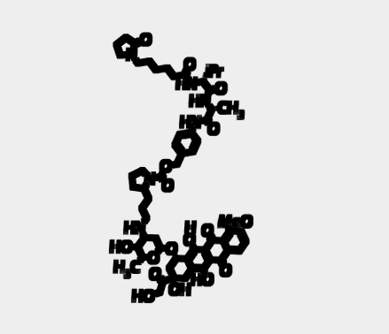 COc1cccc2c1C(=O)c1c(O)c3c(c(O)c1C2=O)C[C@@](O)(C(=O)CO)C[C@@H]3OC1CC(NCCCC2CCCN2C(=O)OCc2ccc(NC(=O)[C@@H](C)NC(=O)[C@H](NC(=O)CCCCCN3CCCC3=O)C(C)C)cc2)C(O)C(C)O1